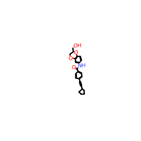 O=C(Nc1ccc2c(c1)OCC(CO)O2)c1ccc(C#CC2CCCC2)cc1